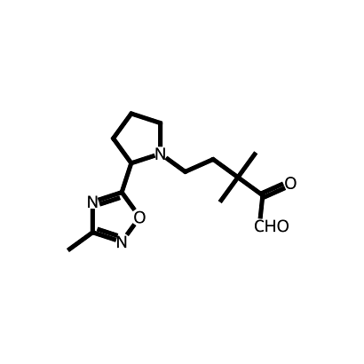 Cc1noc(C2CCCN2CCC(C)(C)C(=O)C=O)n1